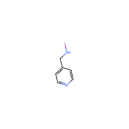 INCc1ccncc1